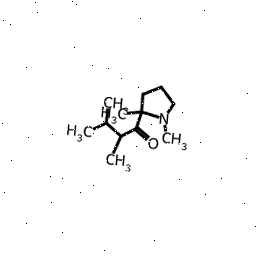 CC(C)C(C)C(=O)C1(C)CCCN1C